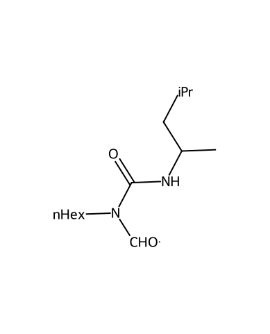 CCCCCCN([C]=O)C(=O)NC(C)CC(C)C